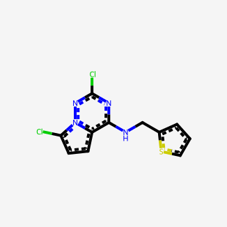 Clc1nc(NCc2cccs2)c2ccc(Cl)n2n1